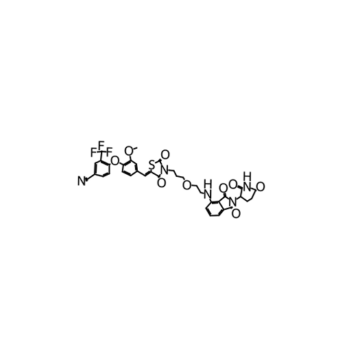 COc1cc(C=C2SC(=O)N(CCCOCCNc3cccc4c3C(=O)N(C3CCC(=O)NC3=O)C4=O)C2=O)ccc1Oc1ccc(C#N)cc1C(F)(F)F